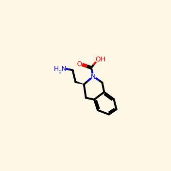 NCC[C@@H]1Cc2ccccc2CN1C(=O)O